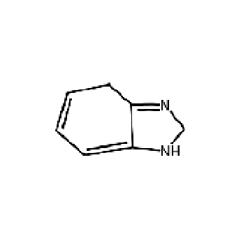 C1=CCC2=NCNC2=C1